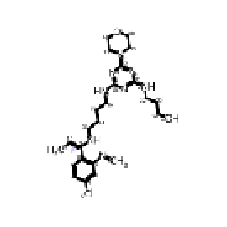 C=Nc1cc(Cl)ccc1/C(=C\C)NCCCCNc1nc(NCCCO)nc(N2CCOCC2)n1